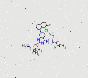 C=C(F)C(=O)N1CCN(c2nc(OCC3N(C)CC3(C)C)nc3c2CCN(c2cccc4ccc(F)c(Cl)c24)C3)C[C@@H]1CC#N